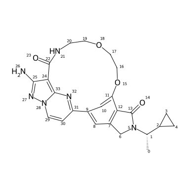 C[C@@H](C1CC1)N1Cc2cc3cc(c2C1=O)OCCOCCNC(=O)c1c(N)nn2ccc-3nc12